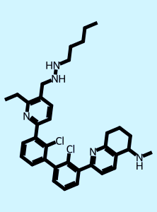 CCCCCNNCc1ccc(-c2cccc(-c3cccc(-c4ccc5c(n4)CCCC5NC)c3Cl)c2Cl)nc1CC